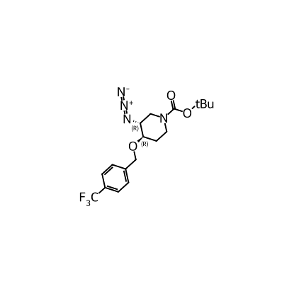 CC(C)(C)OC(=O)N1CC[C@@H](OCc2ccc(C(F)(F)F)cc2)[C@H](N=[N+]=[N-])C1